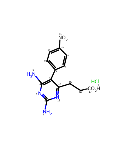 Cl.Nc1nc(N)c(-c2ccc([N+](=O)[O-])cc2)c(CCC(=O)O)n1